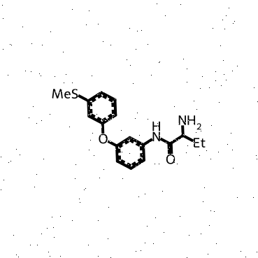 CCC(N)C(=O)Nc1cccc(Oc2cccc(SC)c2)c1